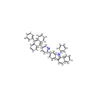 c1ccc(-c2c3ccccc3c(-c3ccc(-c4ccc5c6ccc7ccccc7c6n(-c6ccccc6)c5c4)nc3)c3ccccc23)cc1